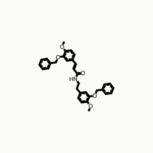 COc1ccc(C=CC(=O)NCCc2ccc(OC)c(OCc3ccccc3)c2)cc1OCc1ccccc1